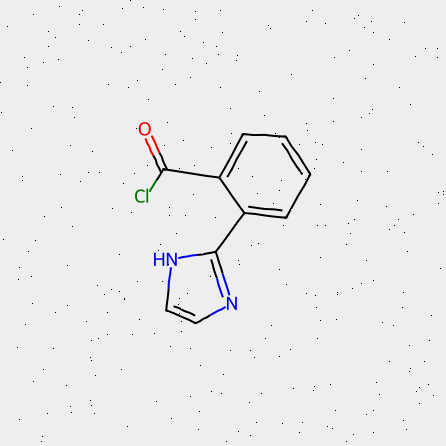 O=C(Cl)c1ccccc1-c1ncc[nH]1